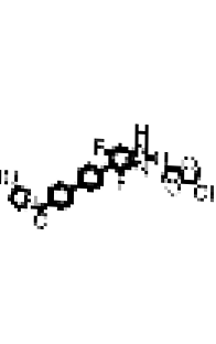 O=C(c1ccc(-c2ccc(-c3c(F)cc4[nH]c(O[C@H]5COC6C5OC[C@@H]6O)nc4c3F)cc2)cc1)N1CC[C@@H](O)C1